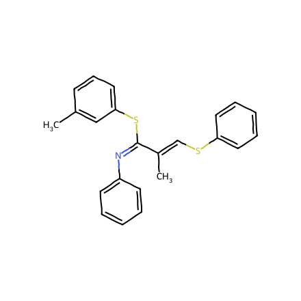 CC(=C\Sc1ccccc1)/C(=N\c1ccccc1)Sc1cccc(C)c1